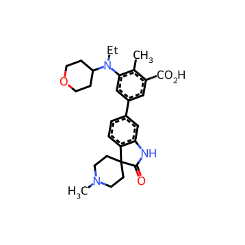 CCN(c1cc(-c2ccc3c(c2)NC(=O)C32CCN(C)CC2)cc(C(=O)O)c1C)C1CCOCC1